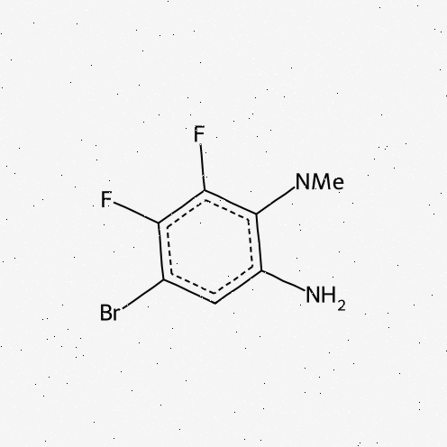 CNc1c(N)cc(Br)c(F)c1F